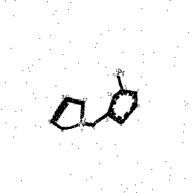 CC(C)c1cccc(CN2CC=CC2)c1